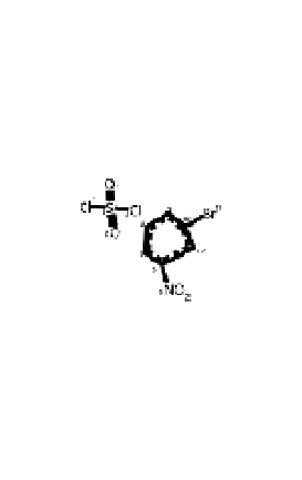 O=S(=O)(Cl)Cl.O=[N+]([O-])c1cccc(Br)c1